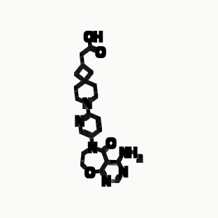 Nc1ncnc2c1C(=O)N(c1ccc(N3CCC4(CC3)CC(CC(=O)O)C4)nc1)CCO2